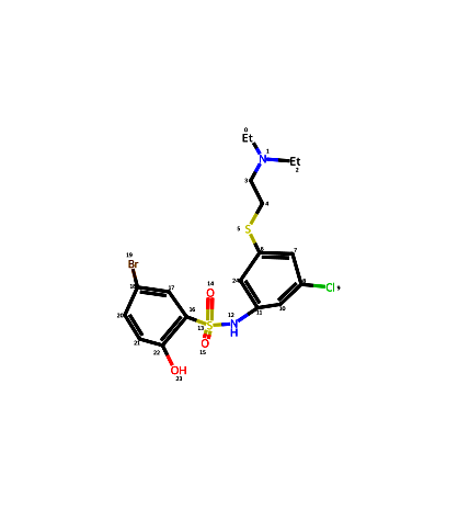 CCN(CC)CCSc1cc(Cl)cc(NS(=O)(=O)c2cc(Br)ccc2O)c1